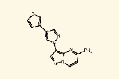 Cc1ccn2ncc(-n3cc(-c4ccoc4)cn3)c2n1